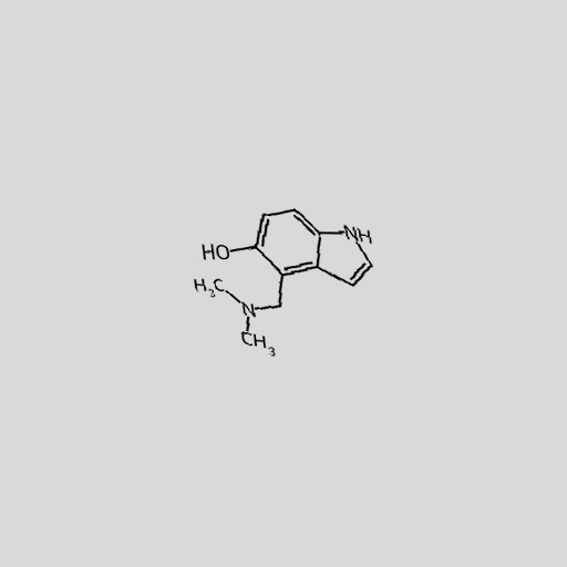 CN(C)Cc1c(O)ccc2[nH]ccc12